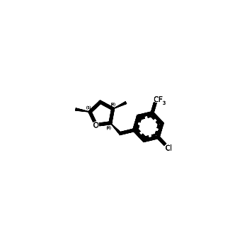 C[C@@H]1C[C@H](C)O[C@@H]1Cc1cc(Cl)cc(C(F)(F)F)c1